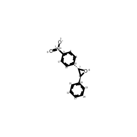 O=[N+]([O-])c1ccc([C@@H]2O[C@H]2c2ccccc2)cc1